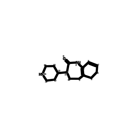 O=C1NC2=C(CCC=C2)CCN1C1CCNCC1